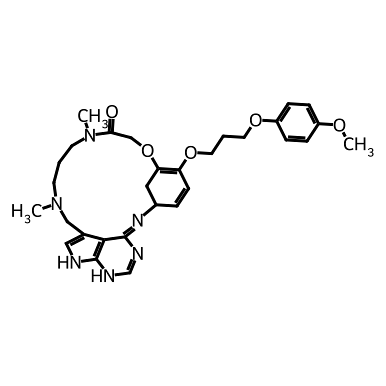 COc1ccc(OCCCOC2=C3CC(C=C2)/N=C2\N=CNc4[nH]cc(c42)CN(C)CCCN(C)C(=O)CO3)cc1